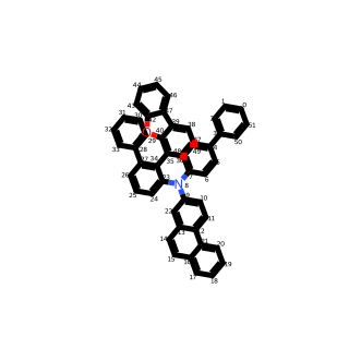 c1ccc(-c2ccc(N(c3ccc4c(ccc5ccccc54)c3)c3cccc(-c4ccccc4)c3-c3cccc4c3oc3ccccc34)cc2)cc1